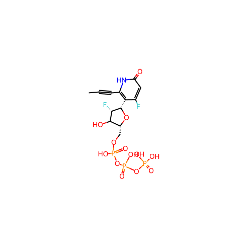 CC#Cc1[nH]c(=O)cc(F)c1[C@@H]1O[C@H](COP(=O)(O)OP(=O)(O)OP(=O)(O)O)C(O)[C@@H]1F